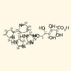 O=C(O)C(O)C(O)C(O)C(O)CO.c1c[nH]cn1.c1c[nH]cn1.c1ccc(-c2ccccn2)nc1